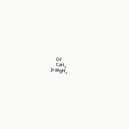 [CaH2].[Gd].[MgH2].[Zr]